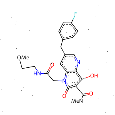 CNC(=O)c1c(O)c2ncc(Cc3ccc(F)cc3)cc2n(CC(=O)NCCOC)c1=O